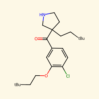 CC(C)(C)CCOc1cc(C(=O)C2(CCC(C)(C)C)CCNC2)ccc1Cl